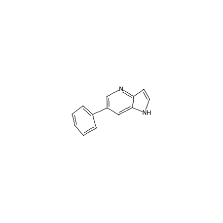 c1ccc(-c2cnc3cc[nH]c3c2)cc1